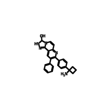 NC1(c2ccc(-c3nc4c(cc3-c3ccccc3)C3=NNC(O)N3C=C4)cc2)CCC1